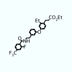 CCOC(=O)CCc1ccc(Oc2cccc(CCNC(=O)c3ccc(C(F)(F)F)cc3F)c2)cc1CC